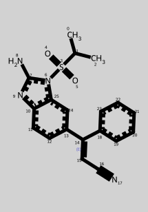 CC(C)S(=O)(=O)n1c(N)nc2ccc(/C(=C/C#N)c3ccccc3)cc21